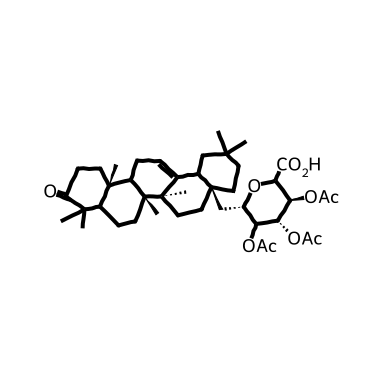 CC(=O)OC1[C@H](C[C@]23CCC(C)(C)CC2C2=CCC4[C@@]5(C)CCC(=O)C(C)(C)C5CC[C@@]4(C)[C@]2(C)CC3)OC(C(=O)O)[C@@H](OC(C)=O)[C@@H]1OC(C)=O